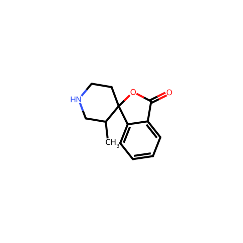 CC1CNCCC12OC(=O)c1ccccc12